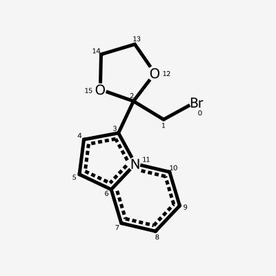 BrCC1(c2ccc3ccccn23)OCCO1